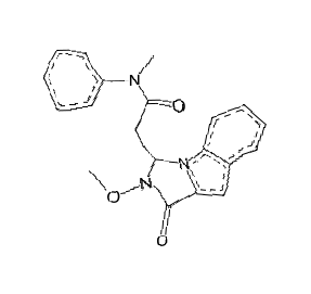 CON1C(=O)c2cc3ccccc3n2C1CC(=O)N(C)c1ccccc1